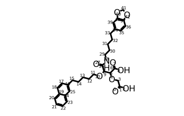 O=C(O)COC(C(=O)O)C(OCCCCCc1ccc2ccccc2c1)C(=O)NCCCCCc1ccc2c(c1)OCO2